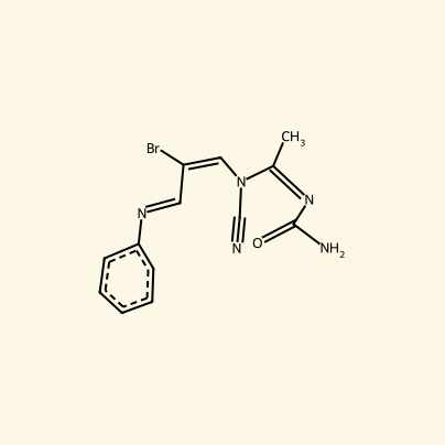 C/C(=N/C(N)=O)N(C#N)/C=C(Br)\C=N\c1ccccc1